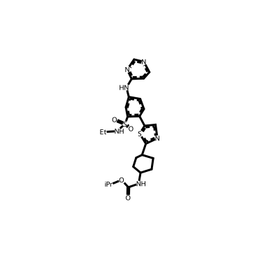 CCNS(=O)(=O)c1cc(Nc2ccncn2)ccc1-c1cnc(C2CCC(NC(=O)OC(C)C)CC2)s1